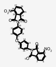 O=C1c2cccc([N+](=O)[O-])c2C(=O)N1c1ccc(Oc2ccc(N3C(=O)c4cccc([N+](=O)[O-])c4C3=O)cc2)cc1